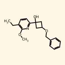 CCc1ccc(C2(O)CC(OCc3ccccc3)C2)nc1OC